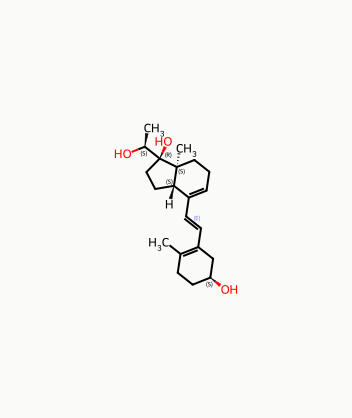 CC1=C(/C=C/C2=CCC[C@@]3(C)[C@H]2CC[C@]3(O)[C@H](C)O)C[C@@H](O)CC1